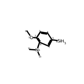 COc1ccc([SiH3])cc1N(C)C